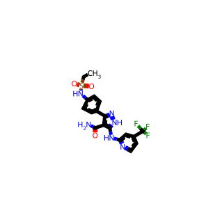 CCS(=O)(=O)Nc1ccc(-c2n[nH]c(Nc3cc(C(F)(F)F)ccn3)c2C(N)=O)cc1